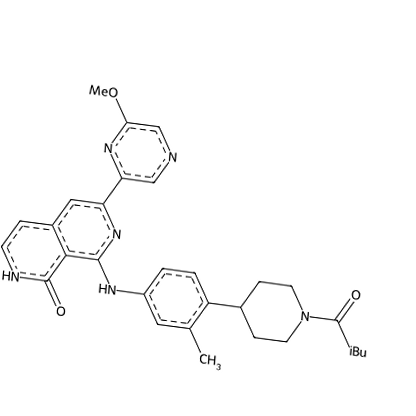 CCC(C)C(=O)N1CCC(c2ccc(Nc3nc(-c4cncc(OC)n4)cc4cc[nH]c(=O)c34)cc2C)CC1